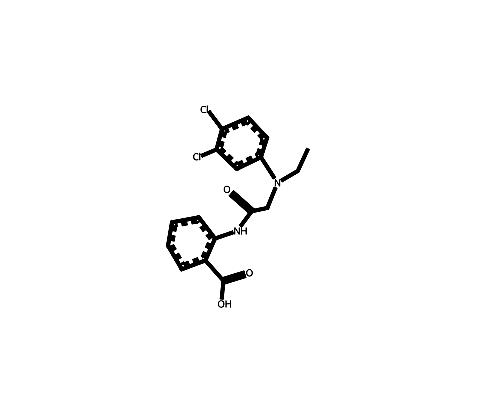 CCN(CC(=O)Nc1ccccc1C(=O)O)c1ccc(Cl)c(Cl)c1